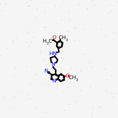 COc1ccc2ncc(C#N)c(CCN3CCC(NCc4ccc(C)c(C(C)=O)c4)CC3)c2c1